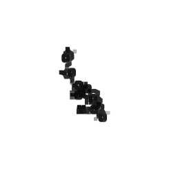 C=C1CC(CC[C@@]23C[C@H]4OC5C(O2)[C@H]2OC(CC(=O)CC6[C@H](C)O[C@H](C)[C@@H]6OC)CCC2O[C@H]5C4O3)OC1CC[C@H]1C[C@@H](C)C(=C)CO1